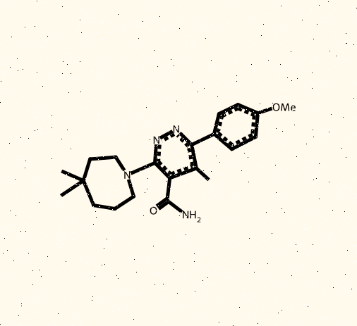 COc1ccc(-c2nnc(N3CCCC(C)(C)CC3)c(C(N)=O)c2C)cc1